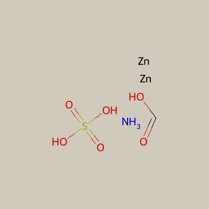 N.O=CO.O=S(=O)(O)O.[Zn].[Zn]